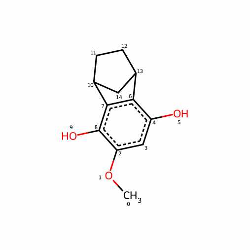 COc1cc(O)c2c(c1O)C1CCC2C1